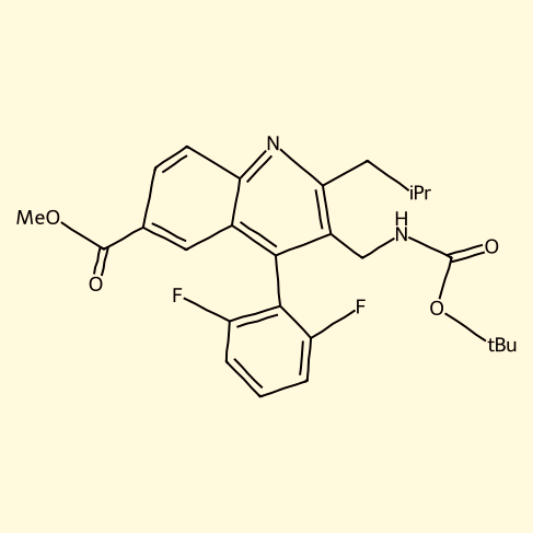 COC(=O)c1ccc2nc(CC(C)C)c(CNC(=O)OC(C)(C)C)c(-c3c(F)cccc3F)c2c1